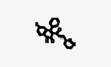 O=C(/C=C/c1cccnn1)c1c(-c2ccccc2)c2cc(F)ccc2[nH]c1=O